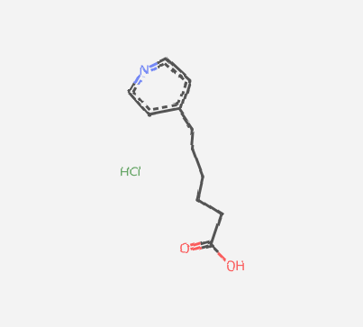 Cl.O=C(O)CCCCCc1ccncc1